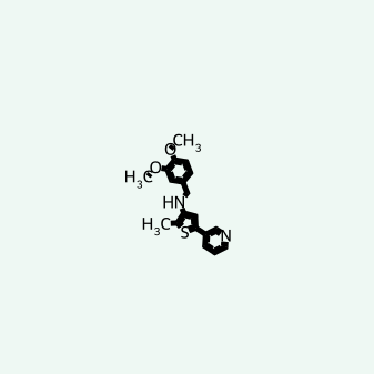 COc1ccc(CNc2cc(-c3cccnc3)sc2C)cc1OC